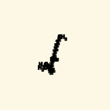 Br.CCCCCCCCCCCCCCCCCCCC(c1ccccc1)N(CC)CC